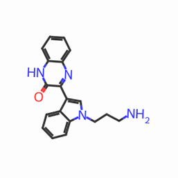 NCCCn1cc(-c2nc3ccccc3[nH]c2=O)c2ccccc21